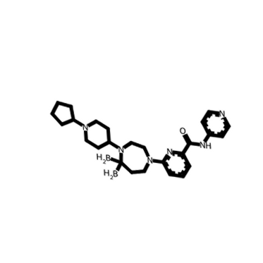 BC1(B)CCN(c2cccc(C(=O)Nc3ccncc3)n2)CCN1C1CCN(C2CCCC2)CC1